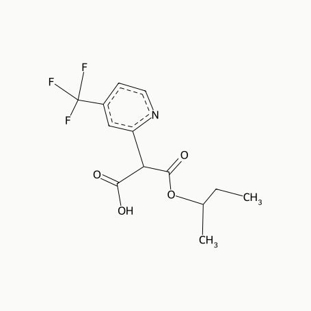 CCC(C)OC(=O)C(C(=O)O)c1cc(C(F)(F)F)ccn1